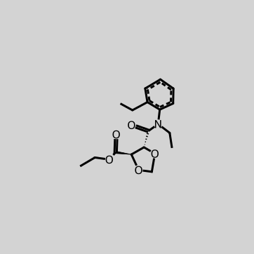 CCOC(=O)[C@@H]1OCO[C@H]1C(=O)N(CC)c1ccccc1CC